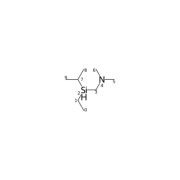 CC[SiH](CN(C)C)C(C)C